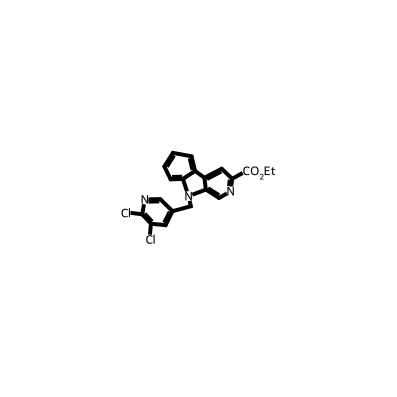 CCOC(=O)c1cc2c3ccccc3n(Cc3cnc(Cl)c(Cl)c3)c2cn1